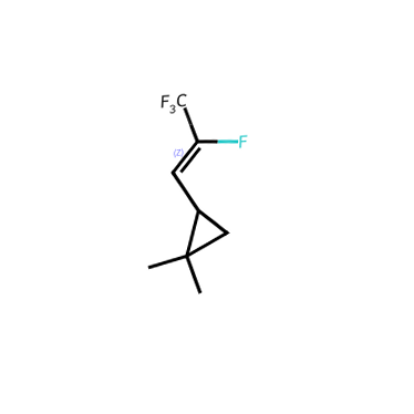 CC1(C)CC1/C=C(\F)C(F)(F)F